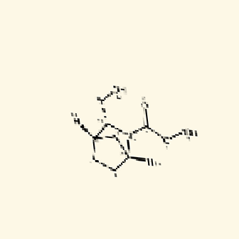 CC(C)(C)OC(=O)N1[C@@H]2CC[C@@H](C2)[C@@H]1CO